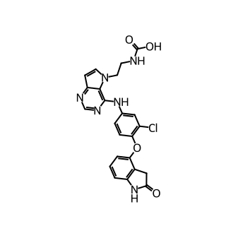 O=C(O)NCCn1ccc2ncnc(Nc3ccc(Oc4cccc5c4CC(=O)N5)c(Cl)c3)c21